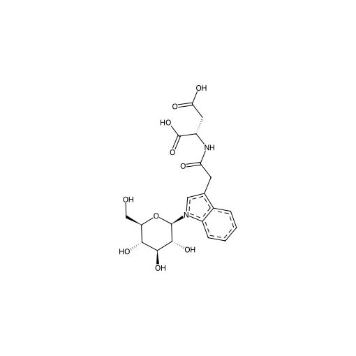 O=C(O)C[C@H](NC(=O)Cc1cn([C@@H]2O[C@H](CO)[C@@H](O)[C@H](O)[C@H]2O)c2ccccc12)C(=O)O